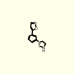 c1cc(-c2ccno2)cc(N2CCNS2)c1